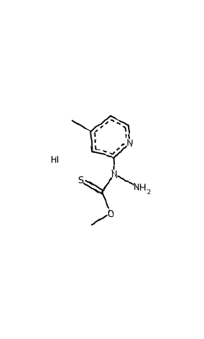 COC(=S)N(N)c1cc(C)ccn1.I